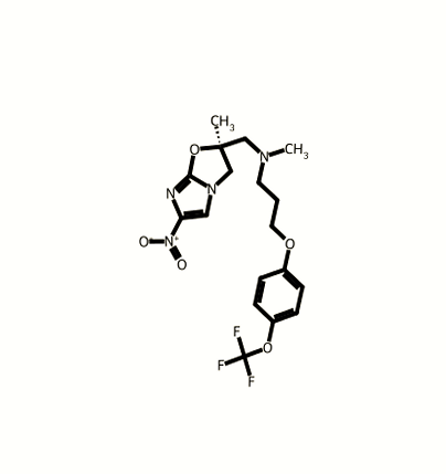 CN(CCCOc1ccc(OC(F)(F)F)cc1)C[C@@]1(C)Cn2cc([N+](=O)[O-])nc2O1